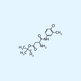 Cc1cc(NC(=O)[C@@H](N)CC(=O)OC(C)(C)C)ccc1Cl